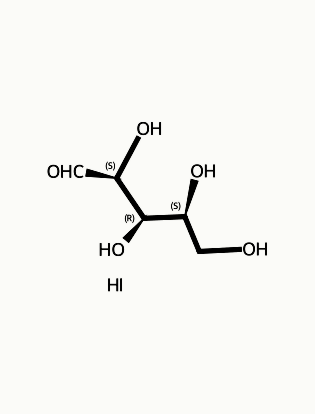 I.O=C[C@@H](O)[C@H](O)[C@@H](O)CO